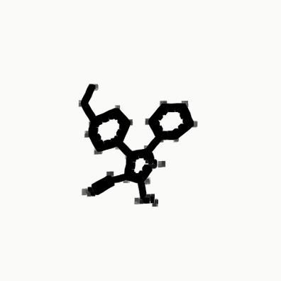 CCc1ccc(-c2c(-c3ccccc3)oc(N)c2C#N)cc1